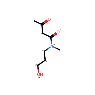 CC(=O)CC(=O)N(C)CCCO